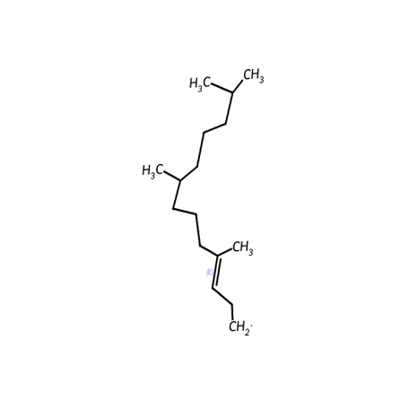 [CH2]C/C=C(\C)CCCC(C)CCCC(C)C